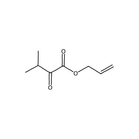 C=CCOC(=O)C(=O)C(C)C